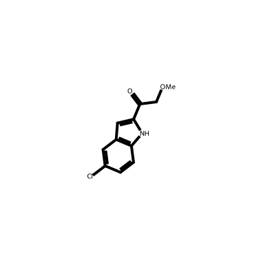 COCC(=O)c1cc2cc(Cl)ccc2[nH]1